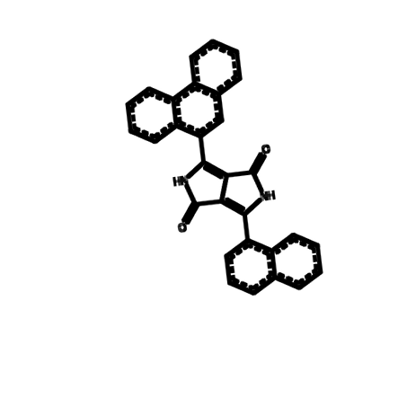 O=C1NC(c2cc3ccccc3c3ccccc23)=C2C(=O)NC(c3cccc4ccccc34)=C12